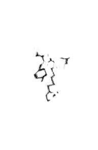 Cc1ccc(C[C@H](NC(=O)[C@H](CC(C)C)NC(=O)CCCCC2CCS[S+]2[O-])C(=O)C(=O)O)cc1